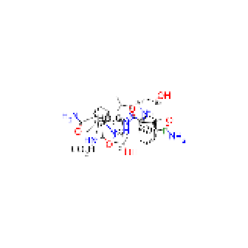 CC1C[C@@H]([C@@H]2C[C@H](O)CN2[C@]2(C(=O)NC(=O)O)c3ccc(cc3)C(C(N)=O)C2(C)C)N(c2ccc(F)cc2)[C@]1(C)[C@@H]1C[C@H](O)CN1[C@]1(C(=O)NC(=O)O)c2ccc(cc2)C(C(N)=O)C1(C)C